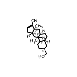 C[C@@]12CC[C@H](CO)C[C@H]1CC[C@@H]1C[C@]3(C)C(C#N)=CC[C@H]3C[C@H]12